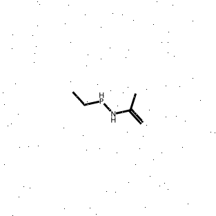 C=C(C)NPCC